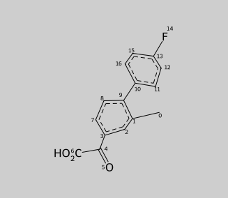 Cc1cc(C(=O)C(=O)O)ccc1-c1ccc(F)cc1